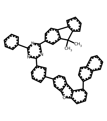 CC1(C)c2ccccc2-c2ccc(-c3nc(-c4ccccc4)nc(-c4cccc(-c5ccc6c(c5)oc5cccc(-c7ccc8ccccc8c7)c56)c4)n3)cc21